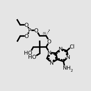 CCOP(OCC)OC[C@H](C)OC(n1cnc2c(N)nc(Cl)nc21)C(C)(CO)CO